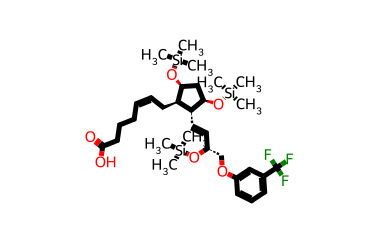 C[Si](C)(C)O[C@H](/C=C/[C@@H]1[C@@H](C/C=C\CCCC(=O)O)[C@@H](O[Si](C)(C)C)C[C@H]1O[Si](C)(C)C)COc1cccc(C(F)(F)F)c1